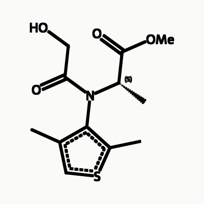 COC(=O)[C@H](C)N(C(=O)CO)c1c(C)csc1C